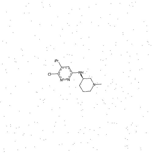 CC(C)c1cc(N[C@@H]2CCCN(C)C2)nnc1Cl